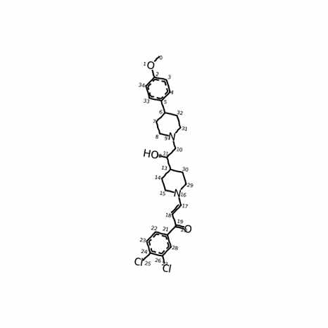 COc1ccc(C2CCN(CC(O)C3CCN(C=CC(=O)c4ccc(Cl)c(Cl)c4)CC3)CC2)cc1